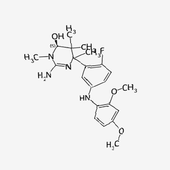 COc1ccc(Nc2ccc(F)c(C3(C)N=C(N)N(C)[C@@H](O)C3(C)C)c2)c(OC)c1